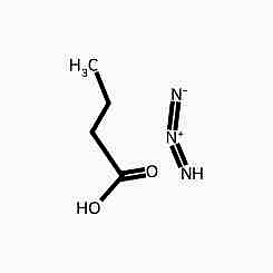 CCCC(=O)O.[N-]=[N+]=N